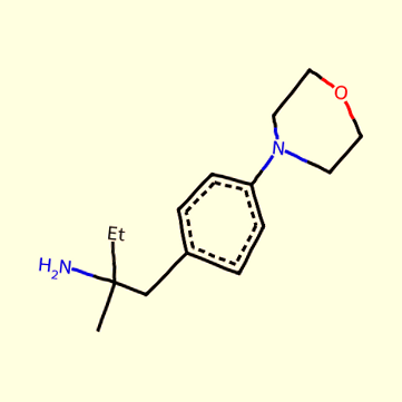 CCC(C)(N)Cc1ccc(N2CCOCC2)cc1